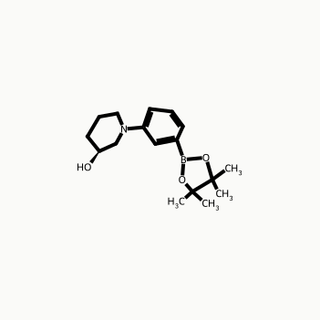 CC1(C)OB(c2cccc(N3CCC[C@H](O)C3)c2)OC1(C)C